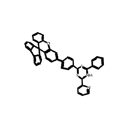 c1ccc(C2=NC(c3ccc(-c4ccc5c(c4)Oc4ccccc4C54c5ccccc5-c5ccccc54)cc3)=NC(c3ccccn3)N2)cc1